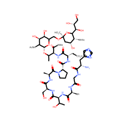 CNC(=O)[C@@H](NC(=O)[C@H](CC(=O)O)NC(=O)[C@@H]1CCCN1C(=O)[C@H](C)NC(=O)[C@H](CO)NC(=O)[C@@H](NC(=O)[C@@H](NC(=O)CNC(=O)[C@@H](N)Cc1cnc[nH]1)C(C)C)C(C)O)C(C)O[C@H]1OC(CO[C@]2(C(=O)O)C[C@@H](O)[C@@H](NC(C)=O)C([C@H](O)[C@H](O)CO)O2)[C@H](O)[C@H](O)C1NC(C)=O